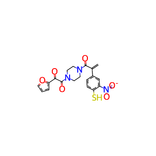 C=C(C(=O)N1CCN(C(=O)C(=O)c2ccco2)CC1)c1ccc(S)c([N+](=O)[O-])c1